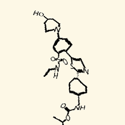 CCNS(=O)(=O)c1cc(N2CCC(O)CC2)ccc1-c1cnc([C@H]2CC[C@H](NC(=O)OC(C)C)CC2)s1